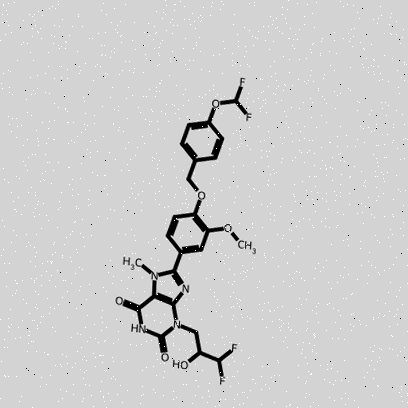 COc1cc(-c2nc3c(c(=O)[nH]c(=O)n3CC(O)C(F)F)n2C)ccc1OCc1ccc(OC(F)F)cc1